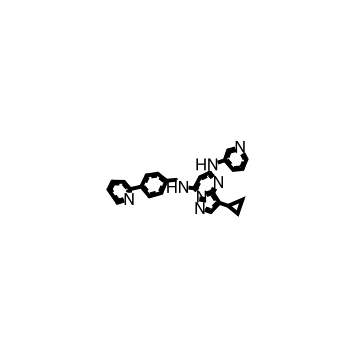 c1ccc(-c2ccc(CNc3cc(Nc4cccnc4)nc4c(C5CC5)cnn34)cc2)nc1